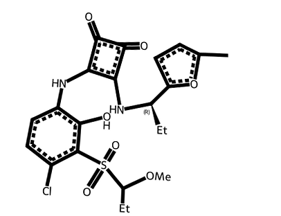 CCC(OC)S(=O)(=O)c1c(Cl)ccc(Nc2c(N[C@H](CC)c3ccc(C)o3)c(=O)c2=O)c1O